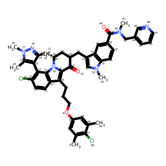 Cc1cc(OCCCc2c3n(c4c(-c5c(C)nn(C)c5C)c(Cl)ccc24)[C@H](C)CC(Cc2cn(C)c4ccc(C(=O)N(C)Cc5cccnc5)cc24)C3=O)cc(C)c1Cl